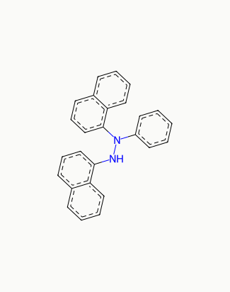 c1ccc(N(Nc2cccc3ccccc23)c2cccc3ccccc23)cc1